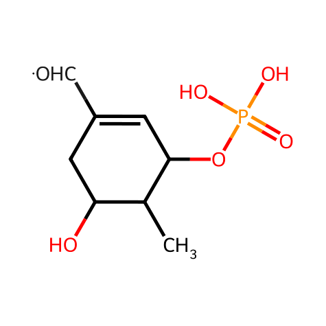 CC1C(O)CC([C]=O)=CC1OP(=O)(O)O